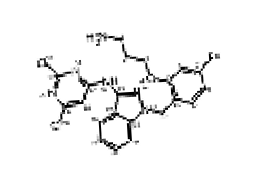 NCCCOc1cc(F)ccc1Cn1nc(Nc2cc(Cl)nc(Cl)n2)c2ccccc21